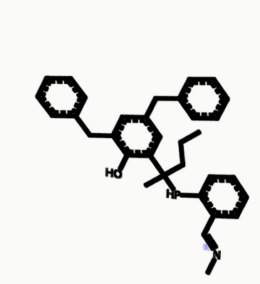 CCCC(C)(Pc1ccccc1/C=N/C)c1cc(Cc2ccccc2)cc(Cc2ccccc2)c1O